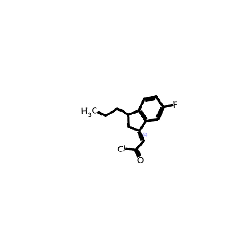 CCCC1C/C(=C\C(=O)Cl)c2cc(F)ccc21